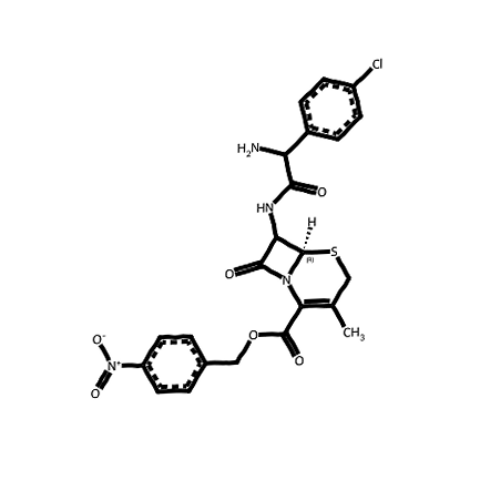 CC1=C(C(=O)OCc2ccc([N+](=O)[O-])cc2)N2C(=O)C(NC(=O)C(N)c3ccc(Cl)cc3)[C@H]2SC1